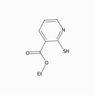 CCOC(=O)c1cccnc1S